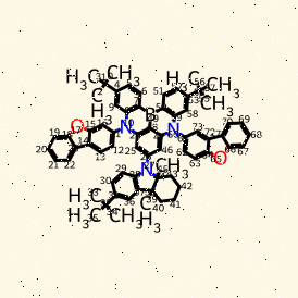 CC(C)(C)c1ccc2c(c1)N(c1ccc3c(c1)oc1ccccc13)c1cc(N3c4ccc(C(C)(C)C)cc4C4(C)CCCCC34C)cc3c1B2c1ccc(C(C)(C)C)cc1N3c1ccc2oc3ccccc3c2c1